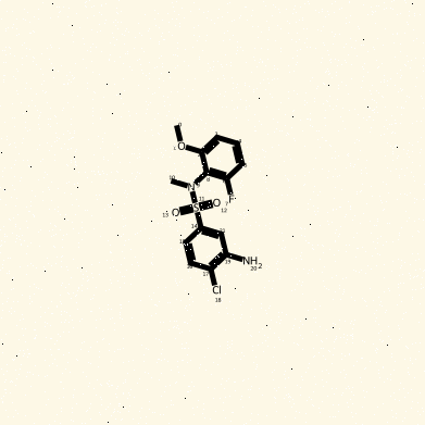 COc1cccc(F)c1N(C)S(=O)(=O)c1ccc(Cl)c(N)c1